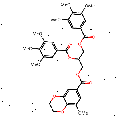 COc1cc(C(=O)OCC(COC(=O)c2cc(OC)c3c(c2)OCCO3)OC(=O)c2cc(OC)c(OC)c(OC)c2)cc(OC)c1OC